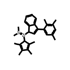 CC1=C(C)[CH]([Zr]([CH]2C=C(c3cc(C)cc(C)c3C)c3ccccc32)=[Si](C)C)C(C)=C1C